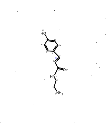 NCCNC(=O)/C=C/c1ccc(O)cc1